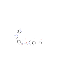 Cc1ncoc1COc1ccc2c(c1C)CCN(CC(O)CNC(=O)c1ccc(OC3CCN(Cc4ccncc4)CC3)cc1)C2